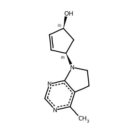 Cc1ncnc2c1CCN2[C@H]1C=C[C@@H](O)C1